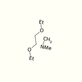 CCOCCOCC.CNC